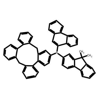 CC1(C)c2ccccc2-c2ccc(N(c3ccc4c(c3)Cc3ccccc3-c3ccccc3Cc3ccccc3-4)c3cc4ccccc4c4ccccc34)cc21